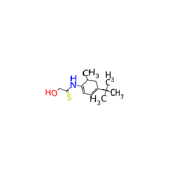 CC1CC(C(C)(C)C)=CC=C1NC(=S)CO